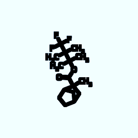 CC1(C(=O)OC(C)(C)C(C)(C)C(F)(F)F)CC2CCC1C2